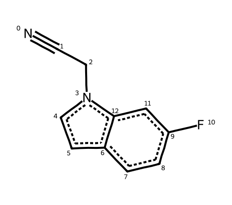 N#CCn1ccc2ccc(F)cc21